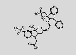 CC1(CS(=O)(=O)O)C(/C=C/C=C/C=C2/N(CC(=O)O)c3ccc(S(N)(=O)=O)cc3C2(C)C)=[N+](c2ccccc2)c2ccccc21